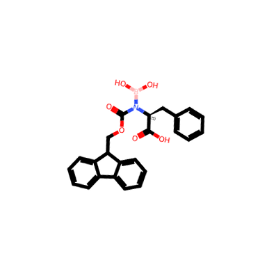 O=C(O)[C@H](Cc1ccccc1)N(B(O)O)C(=O)OCC1c2ccccc2-c2ccccc21